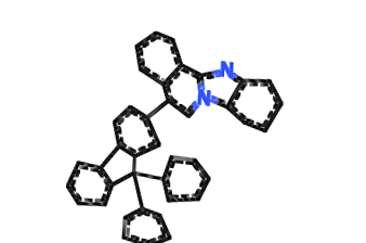 c1ccc(C2(c3ccccc3)c3ccccc3-c3ccc(-c4cn5c6ccccc6nc5c5ccccc45)cc32)cc1